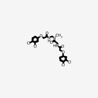 CN(CNC(=O)COc1ccc(Cl)c(Cl)c1)C(=O)CNC(=O)COc1ccc(Cl)c(Cl)c1